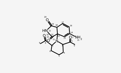 CC(=O)C1CCCC(C(C)=O)N1C12C=C(N)C=CC1C(=O)NC2=O